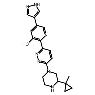 CC1(C2CN(c3ccc(-c4ncc(-c5cn[nH]c5)cc4O)nn3)CCN2)CC1